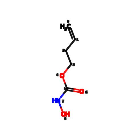 C=CCCOC(=O)NO